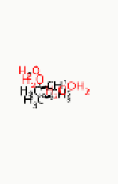 CC.CC.O.O.O.O